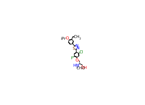 C=Cc1cc(-c2nnc(-c3cc(F)c(OC[C@@H](CO)NC=O)cc3Cl)s2)ccc1OC(C)C